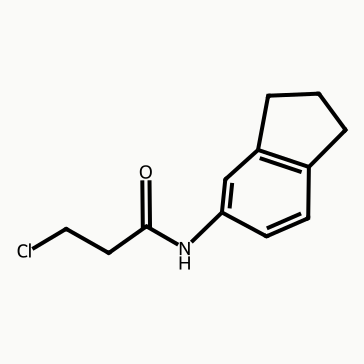 O=C(CCCl)Nc1ccc2c(c1)CCC2